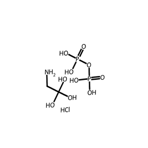 Cl.NCC(O)(O)O.O=P(O)(O)OP(=O)(O)O